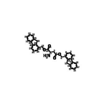 N[C@@H](CC(=O)OCc1cccc2c1Cc1ccccc1-2)C(=O)OCc1cccc2c1Cc1ccccc1-2